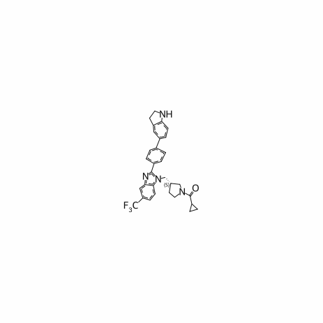 O=C(C1CC1)N1CC[C@H](Cn2c(-c3ccc(-c4ccc5c(c4)CCN5)cc3)nc3cc(C(F)(F)F)ccc32)C1